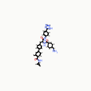 Cc1cc(-c2ccc(CC(NC(=O)C3CCC(CN)CC3)C(=O)Nc3ccc(-c4nnn[nH]4)cc3)cc2)ccc1C(=O)NC1CC1